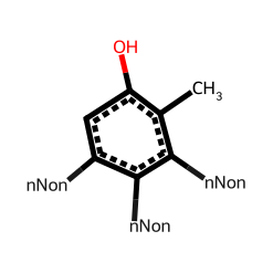 CCCCCCCCCc1cc(O)c(C)c(CCCCCCCCC)c1CCCCCCCCC